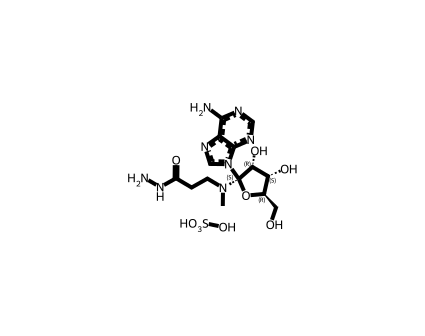 CN(CCC(=O)NN)[C@@]1(n2cnc3c(N)ncnc32)O[C@H](CO)[C@@H](O)[C@H]1O.O=S(=O)(O)O